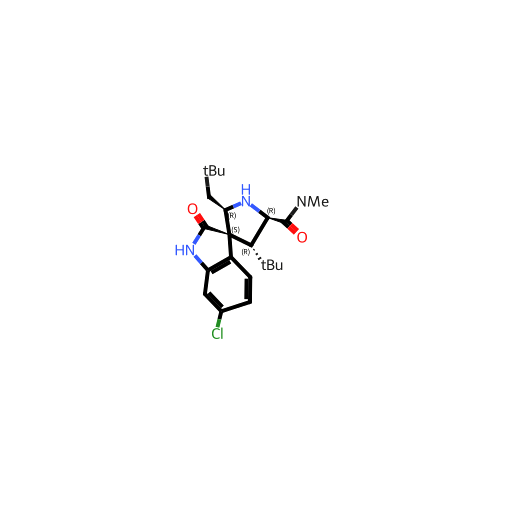 CNC(=O)[C@@H]1N[C@H](CC(C)(C)C)[C@]2(C(=O)Nc3cc(Cl)ccc32)[C@H]1C(C)(C)C